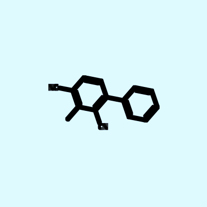 Cc1c(C#N)ccc(-c2ccccc2)c1C#N